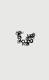 CCCCOC(=O)N1CCN(C(=O)N2CCC(c3[nH]nc4c3C(=O)c3c-4cccc3N(C(N)=O)N3CCOCC3)CC2)CC1